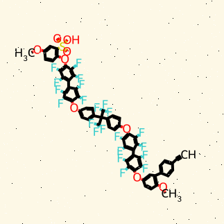 C#Cc1ccc(-c2cc(Oc3c(F)c(F)c(-c4c(F)c(F)c(Oc5ccc(C(c6ccc(Oc7c(F)c(F)c(-c8c(F)c(F)c(Oc9ccc(OC)cc9S(=O)(=O)O)c(F)c8F)c(F)c7F)cc6)(C(F)(F)F)C(F)(F)F)cc5)c(F)c4F)c(F)c3F)ccc2OC)cc1